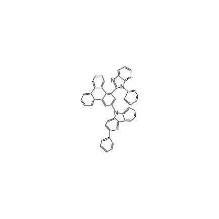 c1ccc(-c2ccc3c(c2)c2ccccc2n3-c2cc(-c3nc4ccccc4n3-c3ccccc3)c3c4ccccc4c4ccccc4c3c2)cc1